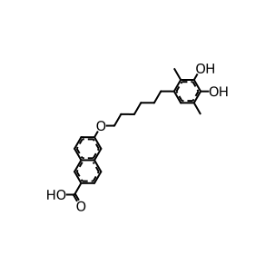 Cc1cc(CCCCCCOc2ccc3cc(C(=O)O)ccc3c2)c(C)c(O)c1O